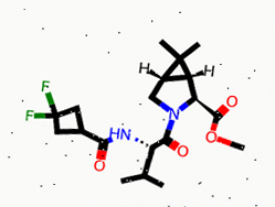 COC(=O)[C@@H]1[C@@H]2[C@H](CN1C(=O)[C@@H](NC(=O)C1CC(F)(F)C1)C(C)C)C2(C)C